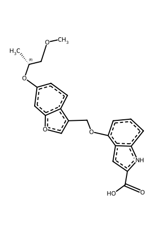 COC[C@@H](C)Oc1ccc2c(COc3cccc4[nH]c(C(=O)O)cc34)coc2c1